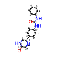 O=C(Nc1ccccc1)Nc1ccc(-c2c[nH]c(=O)cn2)cc1